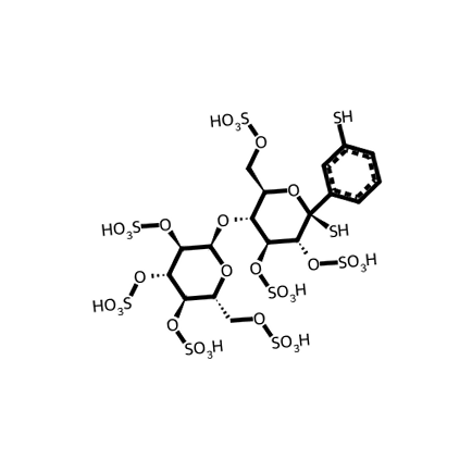 O=S(=O)(O)OC[C@H]1O[C@H](O[C@H]2[C@H](OS(=O)(=O)O)[C@@H](OS(=O)(=O)O)[C@@](S)(c3cccc(S)c3)O[C@@H]2COS(=O)(=O)O)[C@H](OS(=O)(=O)O)[C@@H](OS(=O)(=O)O)[C@@H]1OS(=O)(=O)O